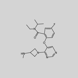 CCN(C(=O)c1cc(F)ccc1Oc1cncnc1N1CC(NC)C1)C(C)C